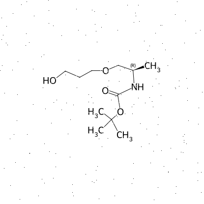 C[C@H](COCCCO)NC(=O)OC(C)(C)C